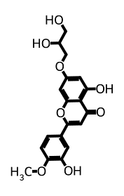 COc1ccc(-c2cc(=O)c3c(O)cc(OCC(O)CO)cc3o2)cc1O